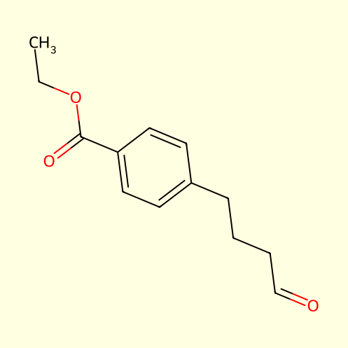 CCOC(=O)c1ccc(CCCC=O)cc1